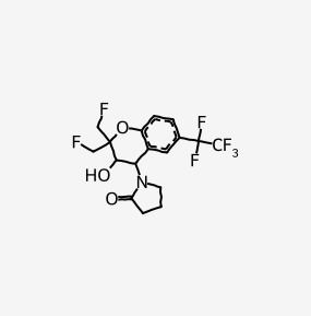 O=C1CCCN1C1c2cc(C(F)(F)C(F)(F)F)ccc2OC(CF)(CF)C1O